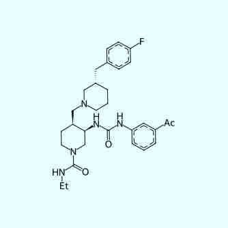 CCNC(=O)N1CC[C@@H](CN2CCC[C@@H](Cc3ccc(F)cc3)C2)[C@@H](NC(=O)Nc2cccc(C(C)=O)c2)C1